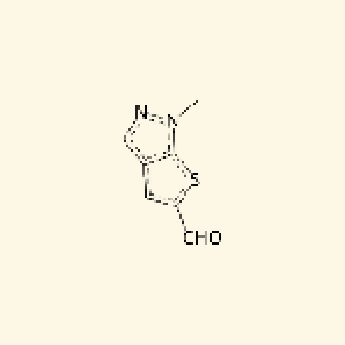 Cn1ncc2cc(C=O)sc21